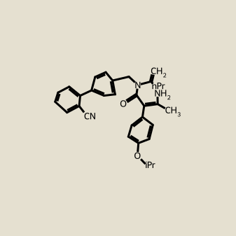 C=C(CCC)N(Cc1ccc(-c2ccccc2C#N)cc1)C(=O)/C(=C(/C)N)c1ccc(OC(C)C)cc1